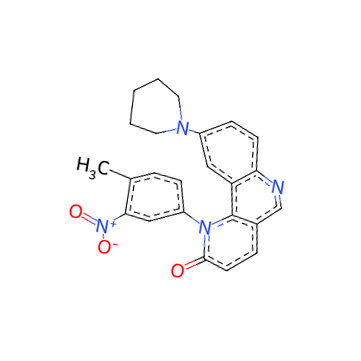 Cc1ccc(-n2c(=O)ccc3cnc4ccc(N5CCCCC5)cc4c32)cc1[N+](=O)[O-]